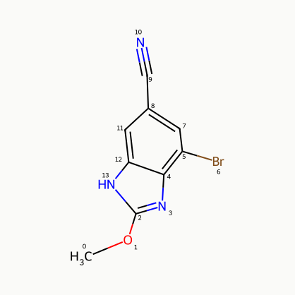 COc1nc2c(Br)cc(C#N)cc2[nH]1